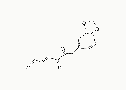 C=CC=CC(=O)NCc1ccc2c(c1)OCO2